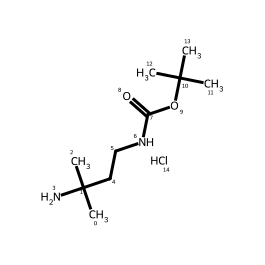 CC(C)(N)CCNC(=O)OC(C)(C)C.Cl